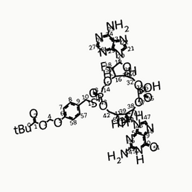 CC(C)(C)C(=O)OCOc1ccc(CSP2(=O)CO[C@H]3[C@@H](F)[C@H](n4cnc5c(N)ncnc54)O[C@@H]3COP(=O)(O)O[C@@H]3[C@H](F)[C@@H](CO2)O[C@H]3n2cnc3c(=O)[nH]c(N)nc32)cc1